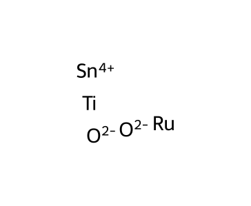 [O-2].[O-2].[Ru].[Sn+4].[Ti]